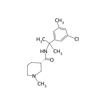 Cc1cc(Cl)cc(C(C)(C)NC(=O)[C@H]2CCCN(C)C2)c1